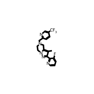 Cc1c(-c2ncccc2F)nn2c1CN(Cc1ccc(C(F)(F)F)cn1)CC2